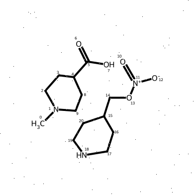 CN1CCC(C(=O)O)CC1.O=[N+]([O-])OCC1CCNCC1